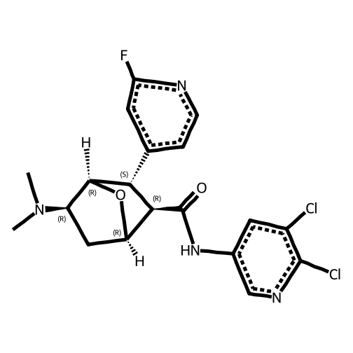 CN(C)[C@@H]1C[C@H]2O[C@@H]1[C@H](c1ccnc(F)c1)[C@H]2C(=O)Nc1cnc(Cl)c(Cl)c1